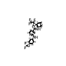 O=C(Nc1cnccc1OC(F)C(F)F)c1ccnc(Nc2ccc(OC(F)F)cc2)n1